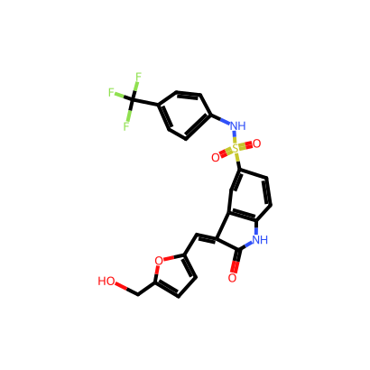 O=C1Nc2ccc(S(=O)(=O)Nc3ccc(C(F)(F)F)cc3)cc2C1=Cc1ccc(CO)o1